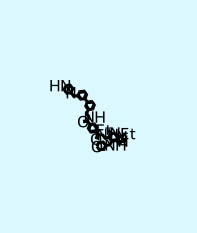 CCc1nc2c(cnn2CC)c(NC2CCOCC2)c1CNC(=O)c1ccc(C(=O)NCc2cccc(-c3cccc(CN4CCNCC4)c3)c2)cc1